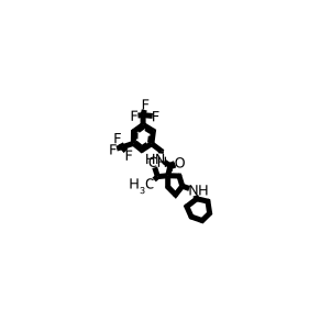 CC(C)C1(C(=O)NCc2cc(C(F)(F)F)cc(C(F)(F)F)c2)CCC(NC2CCCCC2)C1